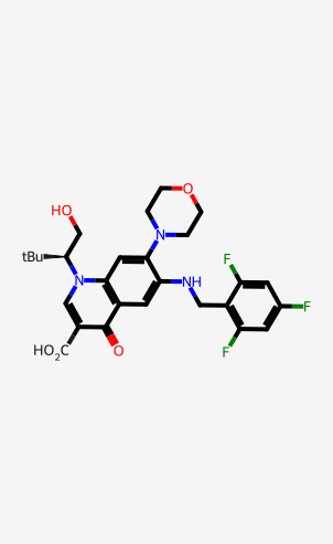 CC(C)(C)[C@@H](CO)n1cc(C(=O)O)c(=O)c2cc(NCc3c(F)cc(F)cc3F)c(N3CCOCC3)cc21